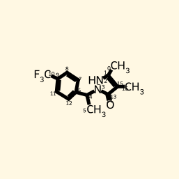 Cc1[nH]n(C(C)c2ccc(C(F)(F)F)cc2)c(=O)c1C